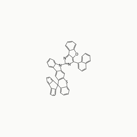 c1ccc2c(c1)Sc1cc3c(cc1C21c2ccccc2-c2ccccc21)c1ccccc1n3-c1nc(-c2cccc3ccccc23)c2oc3ccccc3c2n1